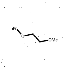 CO[CH]COC(C)C